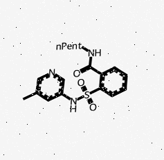 CCCCCNC(=O)c1ccccc1S(=O)(=O)Nc1cncc(C)c1